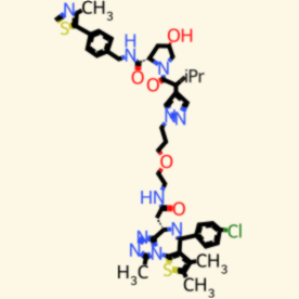 Cc1ncsc1-c1ccc(CNC(=O)[C@@H]2C[C@@H](O)CN2C(=O)C(c2cnn(CCCOCCNC(=O)C[C@@H]3N=C(c4ccc(Cl)cc4)c4c(sc(C)c4C)-n4c(C)nnc43)c2)C(C)C)cc1